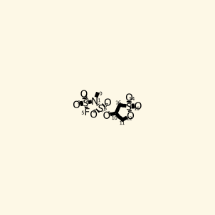 CN(S(=O)(=O)F)S(=O)(=O)OC1COS(=O)(=O)C1